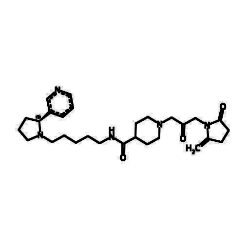 C=C1CCC(=O)N1CC(=O)CN1CCC(C(=O)NCCCCCN2CCC[C@H]2c2cccnc2)CC1